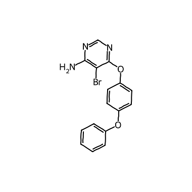 Nc1ncnc(Oc2ccc(Oc3ccccc3)cc2)c1Br